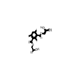 CCC(O)COC(=O)c1c(I)cc(I)c(C(=O)OCC(O)CC)c1I